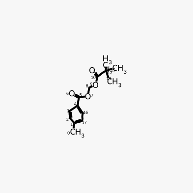 Cc1ccc(C(=O)OCOC(=O)C(C)(C)C)cc1